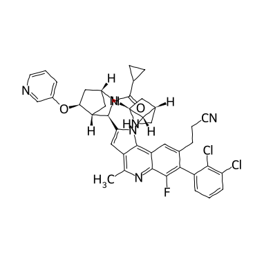 Cc1nc2c(F)c(-c3cccc(Cl)c3Cl)c(CCC#N)cc2c2c1cc([C@H]1[C@H]3C[C@H](C[C@@H]3Oc3cccnc3)N1C(=O)C1CC1)n2[C@H]1[C@H]2CN[C@@H]1C2